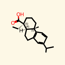 CC[C@]1(C(=O)O)CCC[C@]2(C)c3ccc(C(C)C)cc3CC[C@@H]12